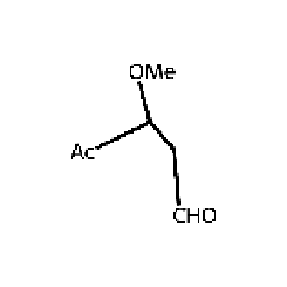 COC(CC=O)C(C)=O